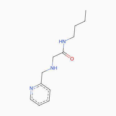 CCCCNC(=O)CNCc1ccccn1